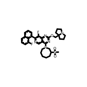 CS(=O)(=O)C1CCCCCN(c2nc(OCC34CCCN3CCC4)nc3c(F)c(-c4cccc5cccc(F)c45)ncc23)C1